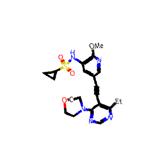 CCc1ncnc(N2CCOCC2)c1C#Cc1cnc(OC)c(NS(=O)(=O)C2CC2)c1